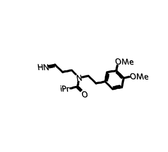 COc1ccc(CCN(CCC=N)C(=O)C(C)C)cc1OC